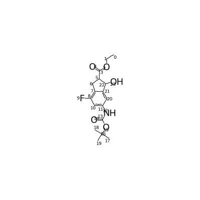 CCOC(=O)C1Cc2c(F)cc(NC(=O)OC(C)(C)C)cc2C1O